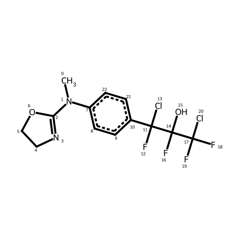 CN(C1=NCCO1)c1ccc(C(F)(Cl)C(O)(F)C(F)(F)Cl)cc1